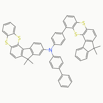 CC1(C)c2cc(N(c3ccc(-c4ccccc4)cc3)c3ccc(-c4cccc5c4Sc4c(ccc6c4-c4ccccc4C6(C)C)S5)cc3)ccc2-c2c1ccc1c2Sc2ccccc2S1